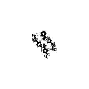 COC(=O)c1ccc(C2(Nc3ncc(-c4nnc(C(F)F)o4)cn3)CC2)cc1.Fc1ccccc1C1(Nc2ncc(-c3nnc(C(F)(F)Cl)o3)cn2)CC1